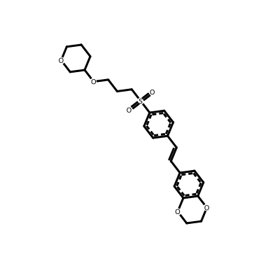 O=S(=O)(CCCOC1CCCOC1)c1ccc(C=Cc2ccc3c(c2)OCCO3)cc1